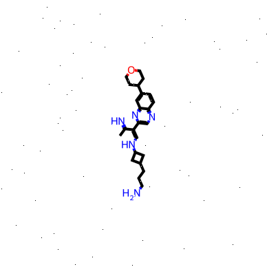 CC(=N)/C(=C\NC1CC(CCCN)C1)c1cnc2ccc(C3CCOCC3)cc2n1